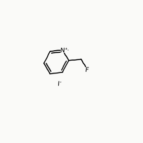 FCC1=CC=CC=[N+]1.[I-]